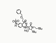 CC(C)(C)CCN1C(=O)C(C2=NP(=O)(CCOCc3ccccc3)c3cc(NS(C)(=O)=O)ccc3N2)=C(O)C1C(C)(C)C